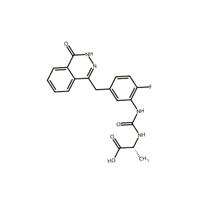 C[C@@H](NC(=O)Nc1cc(Cc2n[nH]c(=O)c3ccccc23)ccc1F)C(=O)O